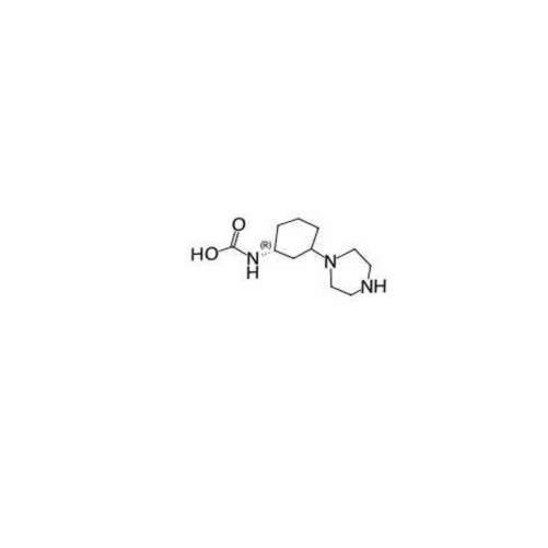 O=C(O)N[C@@H]1CCCC(N2CCNCC2)C1